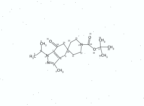 Cc1nn(C(C)C)c2c1CC1(CCN(C(=O)OC(C)(C)C)CC1)CC2=O